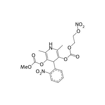 COC(=O)OC1=C(C)NC(C)=C(OC(=O)OCCO[N+](=O)[O-])C1c1ccccc1[N+](=O)[O-]